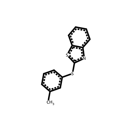 Cc1cccc(Sc2nc3ccccc3s2)c1